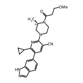 COCCC(=O)N1CCN(c2nc(C3CC3)c(-c3ccc4cn[nH]c4c3)cc2C#N)C[C@H]1C